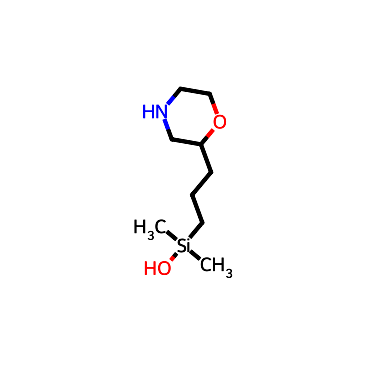 C[Si](C)(O)CCCC1CNCCO1